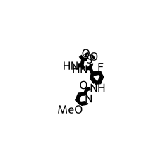 COc1ccc(C(=O)Nc2ccc(F)c(C3CS(=O)(=O)C(C)C(=N)N3)c2)nc1